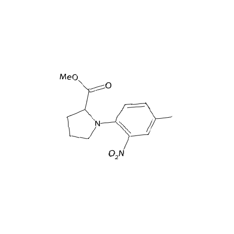 COC(=O)C1CCCN1c1ccc(C)cc1[N+](=O)[O-]